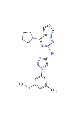 Cc1cc(OC(F)(F)F)cc(-n2cnc(Nc3nc(N4CCCC4)c4cccn4n3)c2)c1